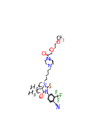 COCCOCC(=O)N1CCN(CCCCCCN2C(=S)N(c3ccc(C#N)c(C(F)(F)F)c3)C(=O)C2(C)C)CC1